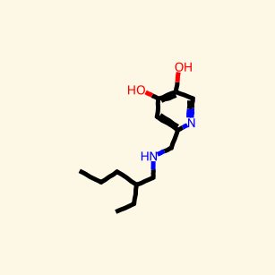 CCCC(CC)CNCc1cc(O)c(O)cn1